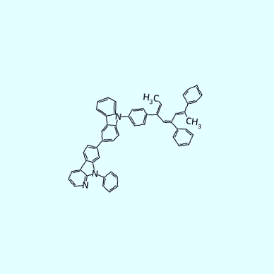 C/C=C(/C=C(\C=C(/C)c1ccccc1)c1ccccc1)c1ccc(-n2c3ccccc3c3cc(-c4ccc5c6cccnc6n(-c6ccccc6)c5c4)ccc32)cc1